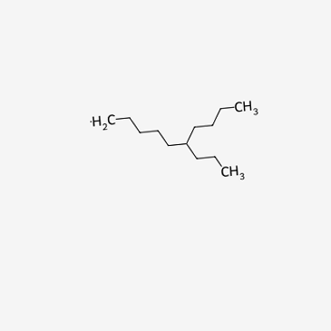 [CH2]CCCCC(CCC)CCCC